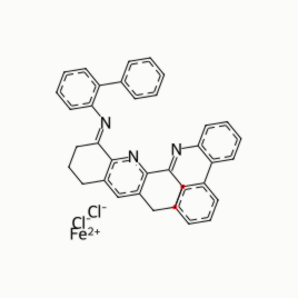 [Cl-].[Cl-].[Fe+2].c1ccc(-c2ccccc2N=C2CCCc3cc4c(nc32)C(=Nc2ccccc2-c2ccccc2)CCC4)cc1